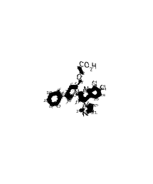 O=C(O)CCOC[C@@H]1C[C@@H](C2CCCCC2)CN1c1cc(-n2ccnc2)c2ccc(Cl)c(Cl)c2n1